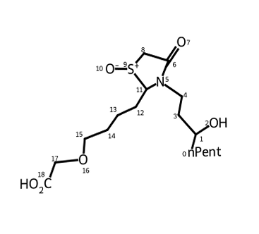 CCCCCC(O)CCN1C(=O)C[S+]([O-])C1CCCCOCC(=O)O